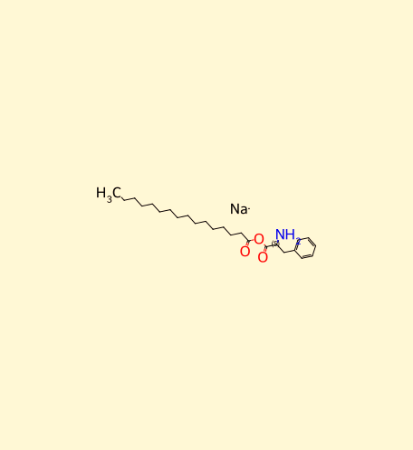 CCCCCCCCCCCCCCCC(=O)OC(=O)[C@@H](N)Cc1ccccc1.[Na]